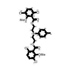 COc1c(Cl)ccc(Cl)c1C(=O)OCCN(CCOC(=O)c1c(Cl)ccc(Cl)c1OC)c1ccc(C)cc1